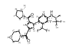 C[C@H](Nc1cc(C(F)F)c(-c2sc(C(=O)N3CCOCC3)nc2C(=O)N2CCC[C@@H]2C)cn1)C(F)(F)F